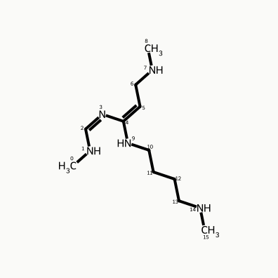 CN/C=N\C(=C/CNC)NCCCCNC